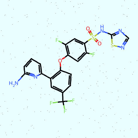 Nc1cccc(-c2cc(C(F)(F)F)ccc2Oc2cc(F)c(S(=O)(=O)Nc3ncns3)cc2F)n1